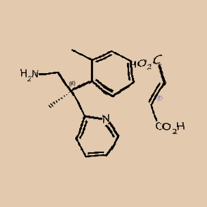 Cc1ccccc1[C@](C)(CN)c1ccccn1.O=C(O)/C=C/C(=O)O